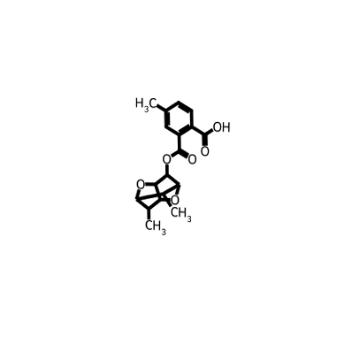 Cc1ccc(C(=O)O)c(C(=O)OC2C3OC4C(C)C(OC42)C3C)c1